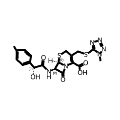 Cc1ccc([C@@H](O)C(=O)N[C@@H]2C(=O)N3C(C(=O)O)=C(CSc4nnnn4C)CS[C@H]23)cc1